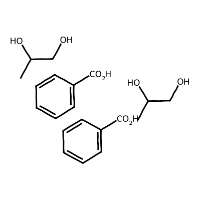 CC(O)CO.CC(O)CO.O=C(O)c1ccccc1.O=C(O)c1ccccc1